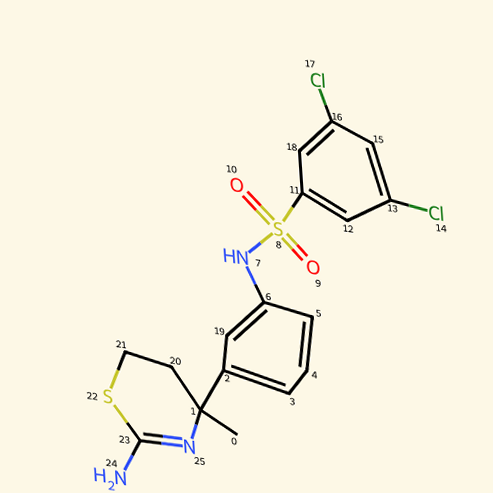 CC1(c2cccc(NS(=O)(=O)c3cc(Cl)cc(Cl)c3)c2)CCSC(N)=N1